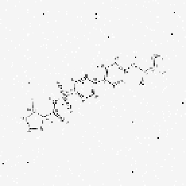 C[C@@H](N)C(=O)Nc1ccc(-c2ccc(S(=O)(=O)OC(=O)C3CCCN3C)cc2)cn1